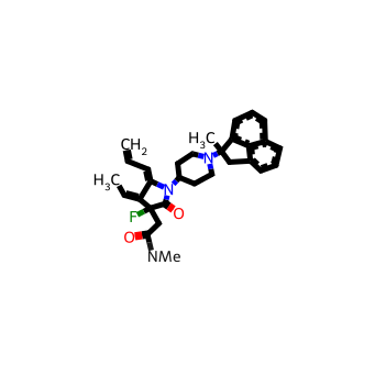 C=C/C=C1\C(=C/C)C(F)(CC(=O)NC)C(=O)N1C1CCN(C2(C)Cc3cccc4cccc2c34)CC1